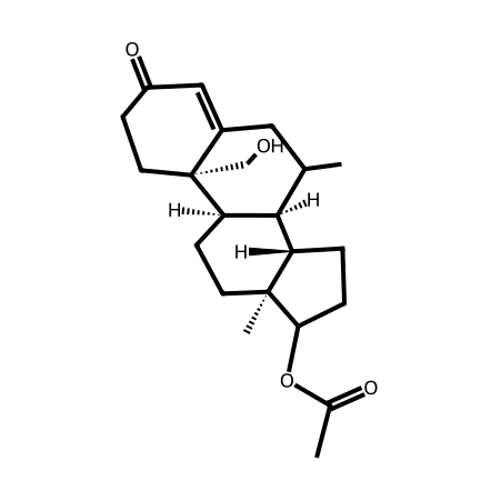 CC(=O)OC1CC[C@H]2[C@@H]3C(C)CC4=CC(=O)CC[C@]4(CO)[C@@H]3CC[C@]12C